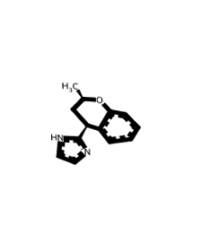 C[C@@H]1C[C@H](c2ncc[nH]2)c2ccccc2O1